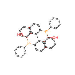 OCc1cccc(P(c2ccccc2)c2ccccc2)c1-c1c(CO)cccc1P(c1ccccc1)c1ccccc1